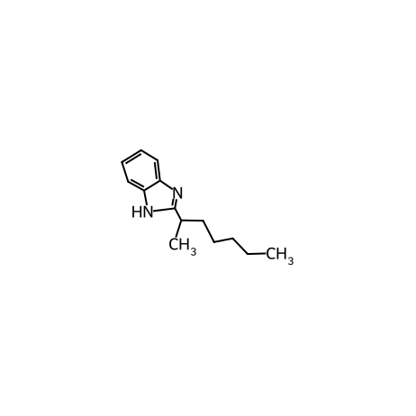 CCCCCC(C)c1nc2ccccc2[nH]1